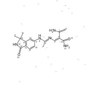 C=C(N)/C(=C\N=C(/C)Nc1ccc2c(c1)C(C)(C)NC2=O)C(N)=O